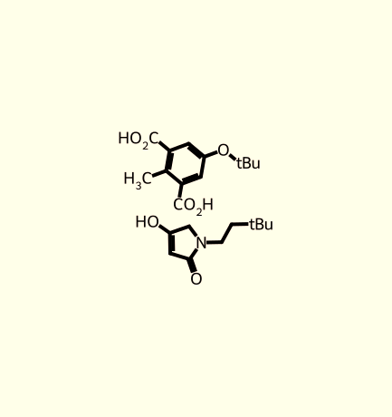 CC(C)(C)CCN1CC(O)=CC1=O.Cc1c(C(=O)O)cc(OC(C)(C)C)cc1C(=O)O